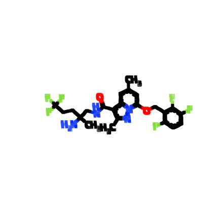 Cc1cc(OCc2c(F)ccc(F)c2F)n2nc(C)c(C(=O)NCC(C)(N)CCC(F)(F)F)c2c1